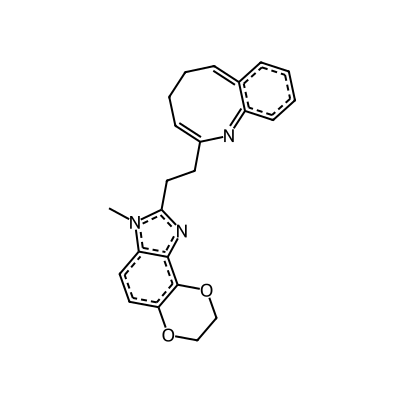 Cn1c(CCC2=C\CC/C=c3/cccc/c3=N/2)nc2c3c(ccc21)OCCO3